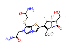 C[C@@H](O)C1C(=O)N2C(C(=O)[O-])=C(c3c[n+]4cn(CC(N)=O)c(SCC(N)=O)c4s3)[C@H](C)[C@@H]12